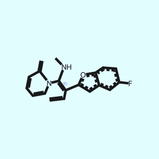 C=C/C(=C(/NC)N1C=CC=CC1=C)c1cc2cc(F)ccc2o1